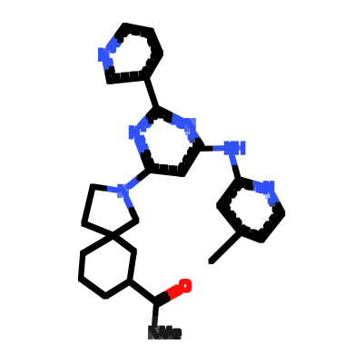 CNC(=O)C1CCCC2(CCN(c3cc(Nc4cc(C)ccn4)nc(-c4cccnc4)n3)C2)C1